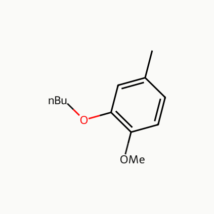 CCCCOc1cc(C)ccc1OC